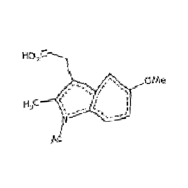 COc1ccc2c(c1)c(CC(=O)O)c(C)n2C(C)=O